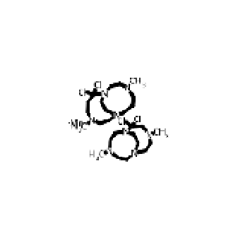 CN1CCCN2CCN(C)CCC(Cl)(Cl)N(CC1)CC2.CN1CCN2CCN(C)CC(Cl)(Cl)N(CC1)CC2.[Mn]